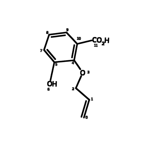 C=CCOc1c(O)cccc1C(=O)O